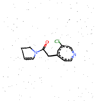 O=C(Cc1ccncc1Cl)N1C=CCC1